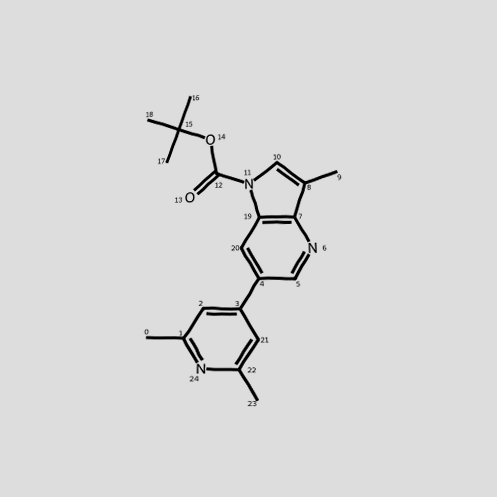 Cc1cc(-c2cnc3c(C)cn(C(=O)OC(C)(C)C)c3c2)cc(C)n1